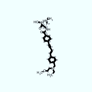 CCN(CCOC)Cc1ccc(C=CC#Cc2ccc(C(=O)N[C@@H](CNC)C(=O)NO)cc2)cc1